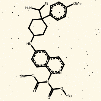 CCC(N)C1(c2ccc(OC)cc2)CCC(Nc2ccc3c(N(C(=O)OC(C)(C)C)C(=O)OC(C)(C)C)nccc3c2)CC1